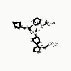 CCOC(=O)COc1nnccc1C1=CCC(OC[C@H]2[C@@H](NC(=O)OC(C)(C)C)CCCN2C(=O)OCc2ccccc2)CC1